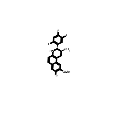 CCc1cc2ccc3c(c2cc1OC)C[C@H](N)[C@@H](c1cc(F)c(F)cc1F)N3